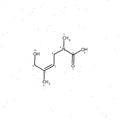 CC(=CCN(C)C(=O)O)CO